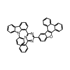 c1ccc(-c2nc(-c3ccc4oc5c6ccccc6c6ccccc6c5c4c3)nc(-c3cccc4c5ccccc5n(-c5ccccc5)c34)n2)cc1